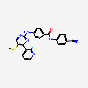 CSc1cnc(Nc2ccc(C(=O)Nc3ccc(C#N)cc3)cc2)nc1-c1cccnc1F